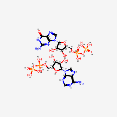 Nc1nc2c(ncn2[C@@H]2O[C@H](COP(=O)(O)OP(=O)(O)O)[C@@H](O)[C@H]2O)c(=O)[nH]1.Nc1ncnc2c1ncn2[C@@H]1O[C@H](COP(=O)(O)OP(=O)(O)O)[C@@H](O)[C@H]1O